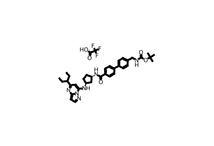 CCC(CC)c1cc(N[C@H]2CC[C@H](NC(=O)c3ccc(-c4ccc(CNC(=O)OC(C)(C)C)cc4)cc3)C2)n2nccc2n1.O=C(O)C(F)(F)F